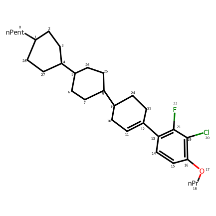 CCCCCC1CCC(C2CCC(C3CC=C(c4ccc(OCCC)c(Cl)c4F)CC3)CC2)CC1